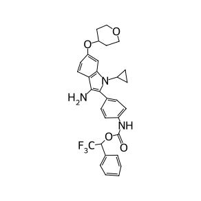 Nc1c(-c2ccc(NC(=O)OC(c3ccccc3)C(F)(F)F)cc2)n(C2CC2)c2cc(OC3CCOCC3)ccc12